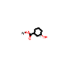 CC(C)OC(=O)C1CCC[C@@H](O)C1